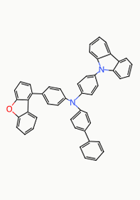 c1ccc(-c2ccc(N(c3ccc(-c4cccc5oc6ccccc6c45)cc3)c3ccc(-n4c5ccccc5c5ccccc54)cc3)cc2)cc1